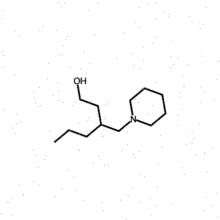 CCCC(CCO)CN1CCCCC1